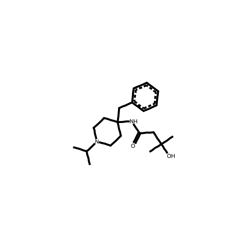 CC(C)N1CCC(Cc2ccccc2)(NC(=O)CC(C)(C)O)CC1